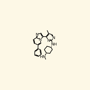 CN[C@H]1CC[C@H](Nc2ncc(C)c(-c3cnc4ccc(-c5ccccc5)cn34)n2)CC1